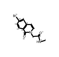 CNC(=O)Cn1ccc2cc(Br)ccc2c1=O